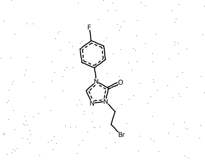 O=c1n(-c2ccc(F)cc2)cnn1CCBr